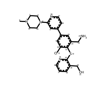 CN1CCN(c2cc(-c3cc(Cl)c(Sc4ncccc4CO)c(CN)c3)ccn2)CC1